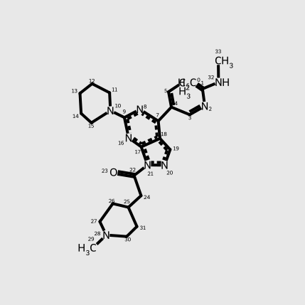 C=C(/N=C\C(=C/C)c1nc(N2CCCCC2)nc2c1cnn2C(=O)CC1CCN(C)CC1)NC